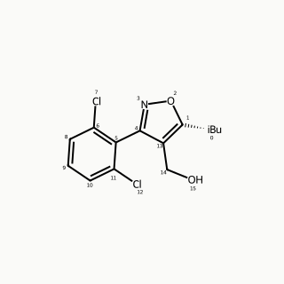 CC[C@@H](C)c1onc(-c2c(Cl)cccc2Cl)c1CO